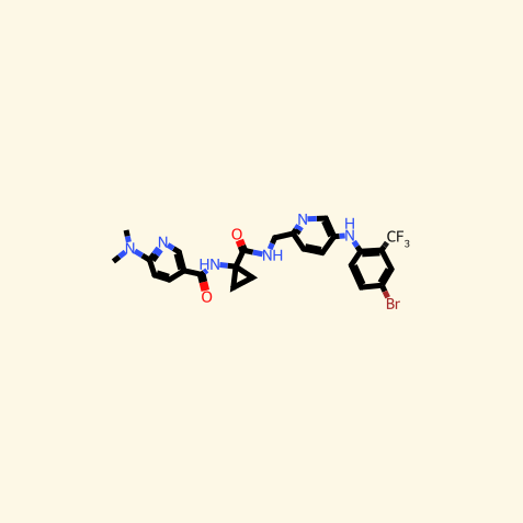 CN(C)c1ccc(C(=O)NC2(C(=O)NCc3ccc(Nc4ccc(Br)cc4C(F)(F)F)cn3)CC2)cn1